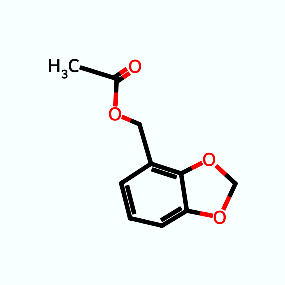 CC(=O)OCc1cccc2c1OCO2